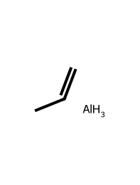 C=CC.[AlH3]